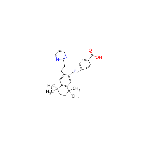 CC1(C)CCC(C)(C)c2cc(CCc3ncccn3)c(/C=C/c3ccc(C(=O)O)cc3)cc21